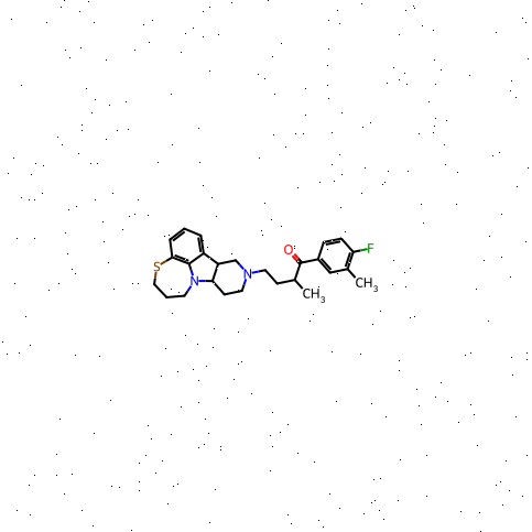 Cc1cc(C(=O)C(C)CCN2CCC3C(C2)c2cccc4c2N3CCCS4)ccc1F